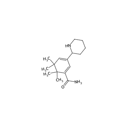 CC1(C)C=C(C2CCCCN2)C=C(C(N)=O)C1(C)C